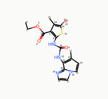 CCOC(=O)c1c(NC(=O)Nc2c(C)ccn3ccnc23)sc(Br)c1C